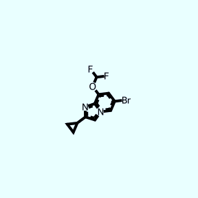 FC(F)Oc1cc(Br)cn2cc(C3CC3)nc12